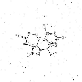 Cn1nc(C2CCCC2)c2c1NC(=O)CSC2c1ccc(Cl)cc1Cl